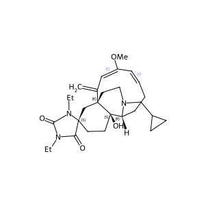 C=C1/C=C(OC)\C=C/CC[C@H]2N(CC3CC3)CC[C@@]13C[C@@]1(CC[C@@]23O)C(=O)N(CC)C(=O)N1CC